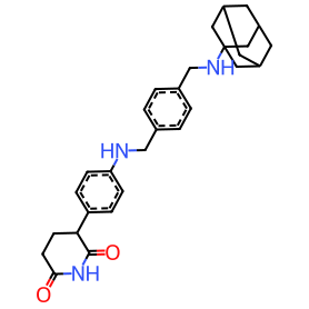 O=C1CCC(c2ccc(NCc3ccc(CNC45CC6CC(CC(C6)C4)C5)cc3)cc2)C(=O)N1